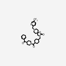 O=C(C1=CCCC=C1)C1CCN(C(=O)C2CCC(CN3CC4(CCN(Cc5ccc(C(F)(F)F)cn5)CC4)OC3=O)CC2)CC1